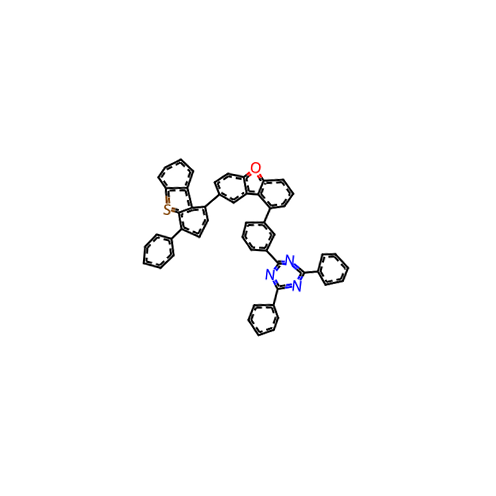 c1ccc(-c2nc(-c3ccccc3)nc(-c3cccc(-c4cccc5oc6ccc(-c7ccc(-c8ccccc8)c8sc9ccccc9c78)cc6c45)c3)n2)cc1